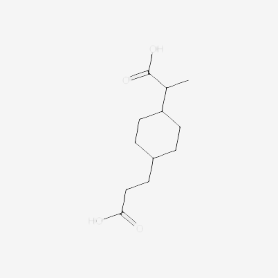 CC(C(=O)O)C1CCC(CCC(=O)O)CC1